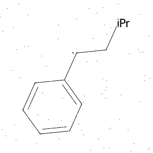 CC(C)C[CH]c1ccccc1